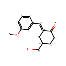 COc1cccc(C=C2CC(CO)CCC2=O)c1